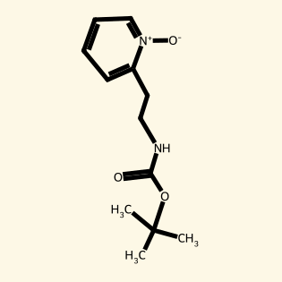 CC(C)(C)OC(=O)NCCc1cccc[n+]1[O-]